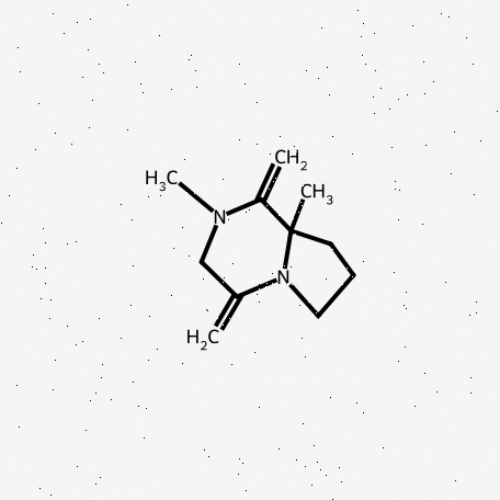 C=C1CN(C)C(=C)C2(C)CCCN12